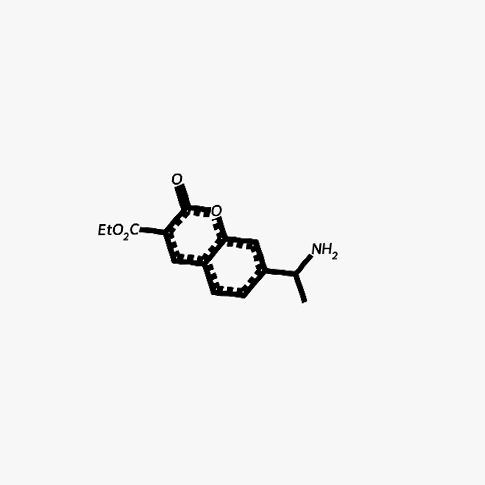 CCOC(=O)c1cc2ccc(C(C)N)cc2oc1=O